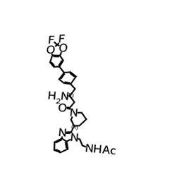 CC(=O)NCCn1c([C@@H]2CCCN(C(=O)C[C@H](N)Cc3ccc(-c4ccc5c(c4)OC(F)(F)O5)cc3)C2)nc2ccccc21